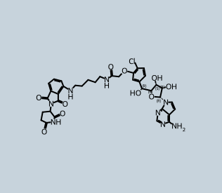 Nc1ncnc2c1ccn2[C@@H]1O[C@H]([C@H](O)c2ccc(Cl)c(OCC(=O)NCCCCCNc3cccc4c3C(=O)N(C3CCC(=O)NC3=O)C4=O)c2)[C@@H](O)[C@H]1O